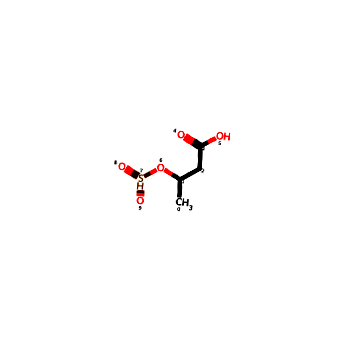 CC(CC(=O)O)O[SH](=O)=O